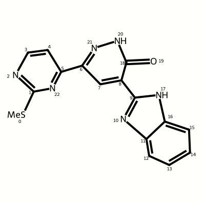 CSc1nccc(-c2cc(-c3nc4ccccc4[nH]3)c(=O)[nH]n2)n1